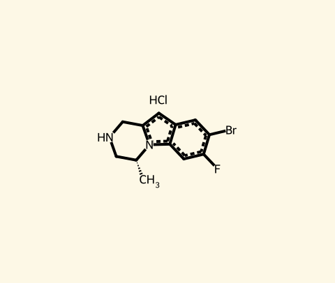 C[C@@H]1CNCc2cc3cc(Br)c(F)cc3n21.Cl